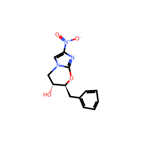 O=[N+]([O-])c1cn2c(n1)O[C@@H](Cc1ccccc1)[C@H](O)C2